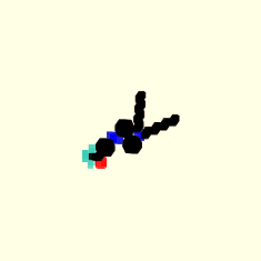 CCCCCCCCN(CCCCCCCC)c1ccccc1-c1ccccc1/N=N/c1ccc(C(=O)C(F)(F)F)cc1